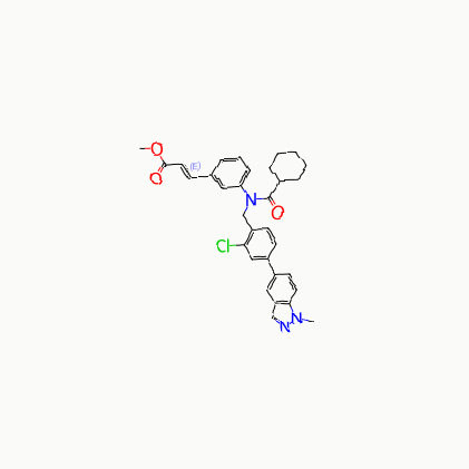 COC(=O)/C=C/c1cccc(N(Cc2ccc(-c3ccc4c(cnn4C)c3)cc2Cl)C(=O)C2CCCCC2)c1